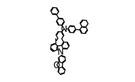 IC/C=C\C(=C/Cc1cccc2c1c1ccc#cc1n2-c1ccc2c(c1)oc1ccccc12)N(c1ccc(-c2ccccc2)cc1)c1ccc(-c2cccc3c2C=CCC3)cc1